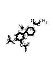 COC(=O)[C@@H]1CCC[C@@](C#N)(c2ccc(OC(F)F)c(OC(F)F)c2)C1